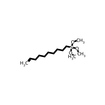 C=CCCCCCCCC[Si](OC)(OC)OC